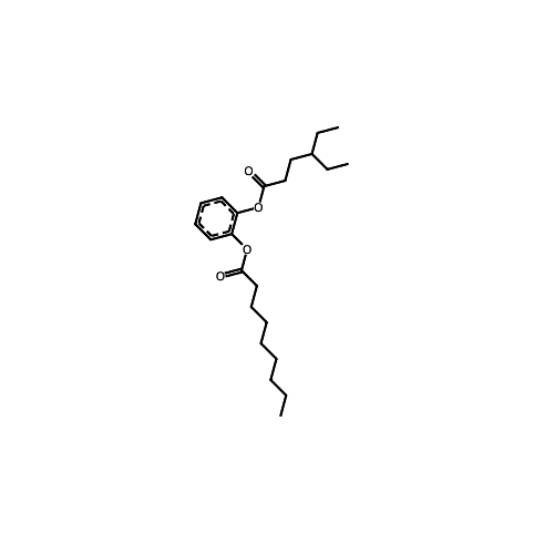 CCCCCCCCC(=O)Oc1ccccc1OC(=O)CCC(CC)CC